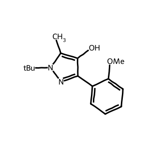 COc1ccccc1-c1nn(C(C)(C)C)c(C)c1O